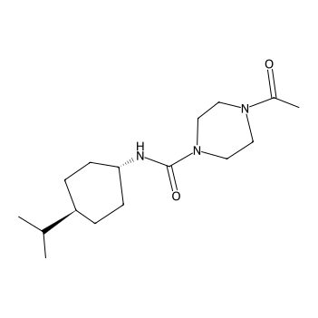 CC(=O)N1CCN(C(=O)N[C@H]2CC[C@H](C(C)C)CC2)CC1